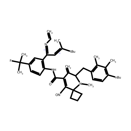 C=C/N=C(\C=C(/C)C(C)(C)C)c1cc(C(C)(C)F)ccc1NC(=O)C1=C(N=O)C2(CCC2)N(C)C(Cc2ccc(CCCC)c(C)c2C)C1=C